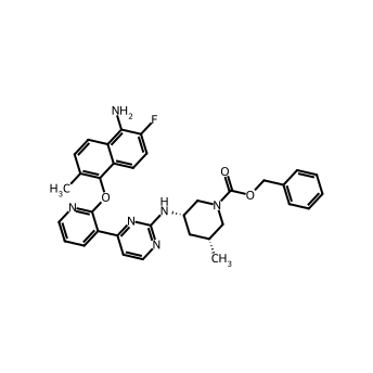 Cc1ccc2c(N)c(F)ccc2c1Oc1ncccc1-c1ccnc(N[C@H]2C[C@@H](C)CN(C(=O)OCc3ccccc3)C2)n1